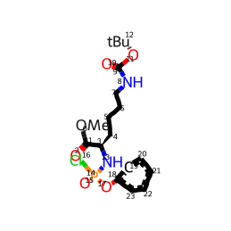 COC(=O)[C@@H](CCCCNC(=O)OC(C)(C)C)NP(=O)(Cl)Oc1ccccc1